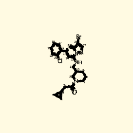 O=C(CC1CC1)N1CCCC(CNc2cc(-c3ccccc3Cl)nc3c(Br)cnn23)C1